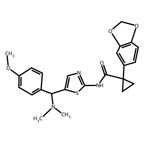 COc1ccc(C(c2cnc(NC(=O)C3(c4ccc5c(c4)OCO5)CC3)s2)N(C)C)cc1